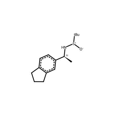 C[C@H](N[S+]([O-])C(C)(C)C)c1ccc2c(c1)CCC2